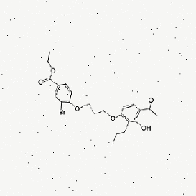 CCCc1c(OCCCOc2ccc(C(=O)OCC)cc2Br)ccc(C(C)=O)c1O